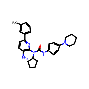 Nc1ccc(-c2cccc(C(F)(F)F)c2)nc1N(C(=O)Nc1ccc(N2CCCCC2)cc1)C1CCCC1